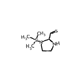 C[Si](C)(C)N1CCNC1C=S